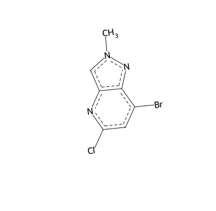 Cn1cc2nc(Cl)cc(Br)c2n1